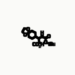 CC(C)(C)OC(=O)NC(CC(=O)O)C1CCC2(CC1)OCCO2